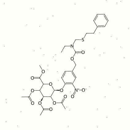 CCN(CSCCc1ccccc1)C(=O)OCc1ccc(O[C@@H]2OC(C(=O)OC)C(OC(C)=O)[C@H](OC(C)=O)C2OC(C)=O)c([N+](=O)[O-])c1